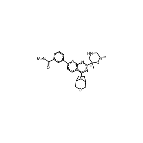 CNC(=O)c1cccc(-c2ccc3c(N4C5CCC4COC5)nc([C@]4(C)CNC[C@@H](C)O4)nc3n2)c1